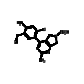 Bc1cc(Cl)c(-c2nc(N)nc3c2CN(C(=O)OCC)C3)cc1OCC